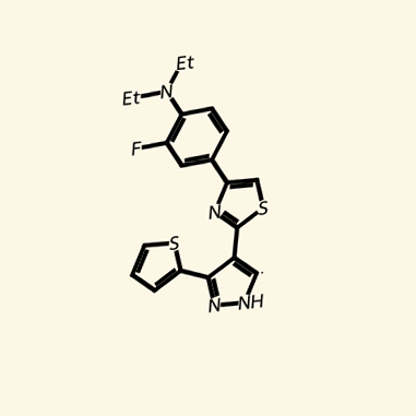 CCN(CC)c1ccc(-c2csc(-c3[c][nH]nc3-c3cccs3)n2)cc1F